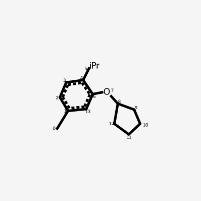 Cc1ccc(C(C)C)c(OC2CCCC2)c1